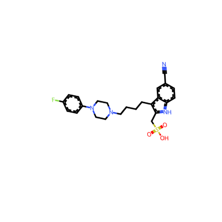 N#Cc1ccc2[nH]c(CS(=O)(=O)O)c(CCCCN3CCN(c4ccc(F)cc4)CC3)c2c1